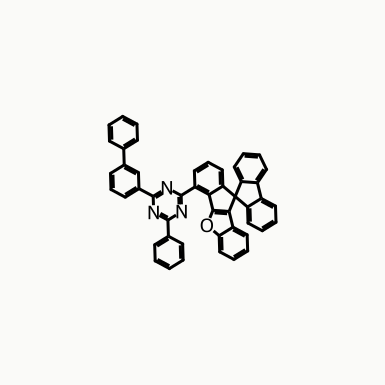 c1ccc(-c2cccc(-c3nc(-c4ccccc4)nc(-c4cccc5c4-c4oc6ccccc6c4C54c5ccccc5-c5ccccc54)n3)c2)cc1